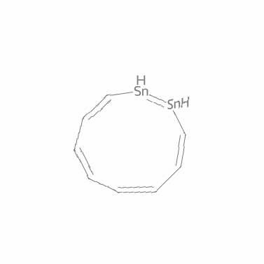 C1=CC=[CH][SnH]=[SnH][CH]=CC=C1